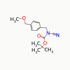 COCc1ccc(CN(C#N)C(=O)OC(C)(C)C)cc1